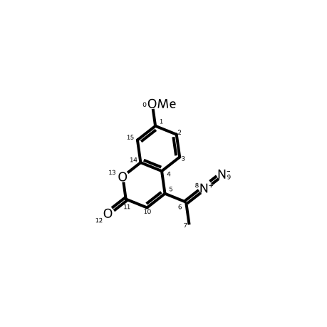 COc1ccc2c(C(C)=[N+]=[N-])cc(=O)oc2c1